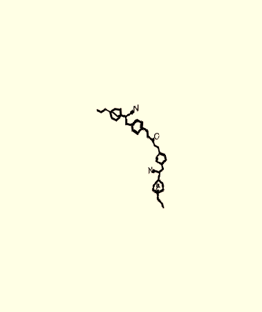 CCCC12CCC(C(C#N)Cc3ccc(CCC(=O)CCc4ccc(CC(C#N)C56CCC(CCC)(CC5)CC6)cc4)cc3)(CC1)CC2